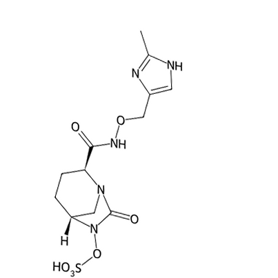 Cc1nc(CONC(=O)[C@@H]2CC[C@@H]3CN2C(=O)N3OS(=O)(=O)O)c[nH]1